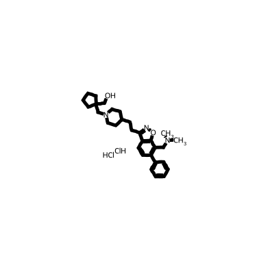 CN(C)Cc1c(-c2ccccc2)ccc2c(CCC3CCN(CC4(CO)CCCC4)CC3)noc12.Cl.Cl